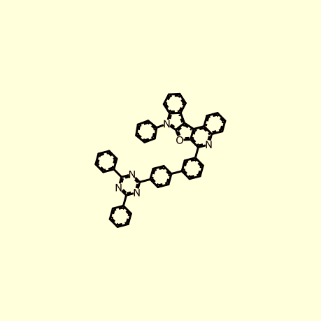 c1ccc(-c2nc(-c3ccccc3)nc(-c3ccc(-c4cccc(-c5nc6ccccc6c6c5oc5c6c6ccccc6n5-c5ccccc5)c4)cc3)n2)cc1